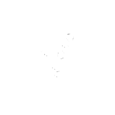 CCCN(CC1CCN(C(=O)N2CCOCC2)CC1)C(C)Cc1cccc(NC(=O)c2ccc(Cl)cc2)c1